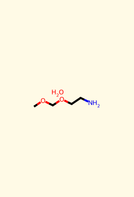 COCOCCN.O